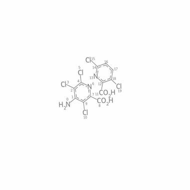 Nc1c(Cl)c(Cl)nc(C(=O)O)c1Cl.O=C(O)c1nc(Cl)ccc1Cl